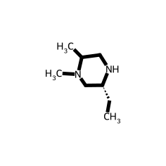 CC[C@@H]1CN(C)C(C)CN1